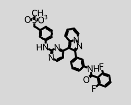 CS(=O)(=O)Cc1cccc(Nc2nccc(-c3c(-c4cccc(NC(=O)c5c(F)cccc5F)c4)nn4ccccc34)n2)c1